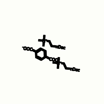 CCCCCCCCCCCC[N+](C)(C)C.CCCCCCCCCCCC[N+](C)(C)C.O=C([O-])c1ccc(C(=O)[O-])cc1